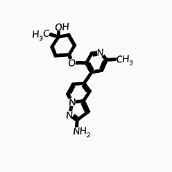 Cc1cc(-c2ccn3nc(N)cc3c2)c(OC2CCC(C)(O)CC2)cn1